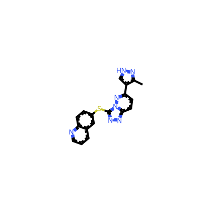 Cc1n[nH]cc1-c1ccc2nnc(Sc3ccc4ncccc4c3)n2n1